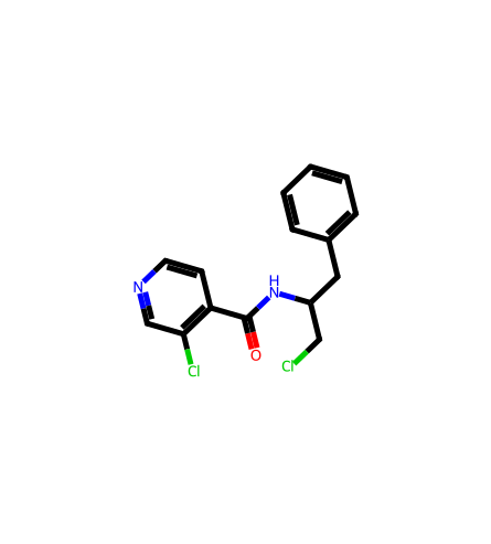 O=C(NC(CCl)Cc1ccccc1)c1ccncc1Cl